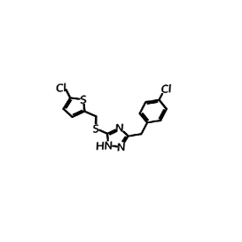 Clc1ccc(Cc2n[nH]c(SCc3ccc(Cl)s3)n2)cc1